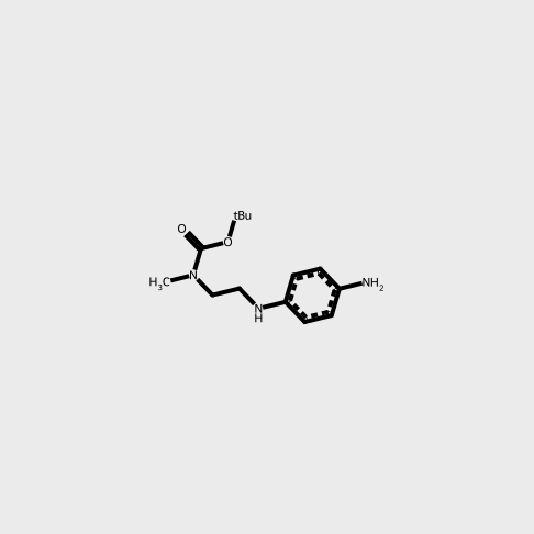 CN(CCNc1ccc(N)cc1)C(=O)OC(C)(C)C